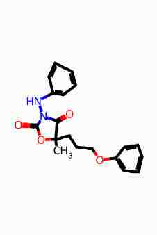 CC1(CCCOc2ccccc2)OC(=O)N(Nc2ccccc2)C1=O